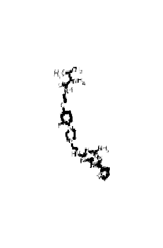 CC(C)C(N)C(=O)NCCOc1ccc(N2CCN(CCNc3nc(N)n4nc(-c5ccco5)nc4n3)CC2)c(F)c1